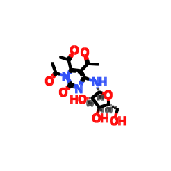 CC(=O)c1c(N[C@@H]2O[C@H](CO)[C@@H](O)[C@@H]2O)nc(=O)n(C(C)=O)c1C(C)=O